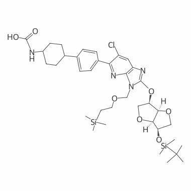 CC(C)(C)[Si](C)(C)O[C@@H]1CO[C@H]2[C@@H]1OC[C@H]2Oc1nc2cc(Cl)c(-c3ccc(C4CCC(NC(=O)O)CC4)cc3)nc2n1COCC[Si](C)(C)C